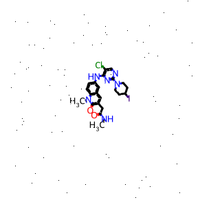 CNC(=O)Cc1cc2cc(Nc3nc(N4CCC(I)CC4)ncc3Cl)ccc2n(C)c1=O